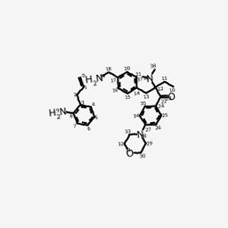 C=CCc1ccccc1N.CCC(Cc1ccc(CN)cc1)(C(=O)c1ccc(N2CCOCC2)cc1)N(C)C